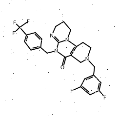 O=C1C2=C(CCN(Cc3cc(F)cc(F)c3)C2)N2CCCN=C2N1Cc1ccc(C(F)(F)F)cc1